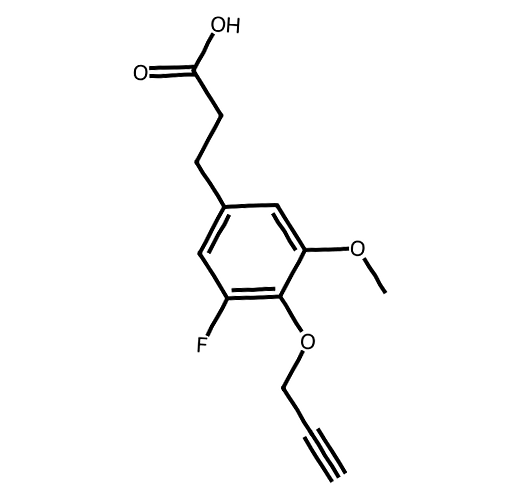 C#CCOc1c(F)cc(CCC(=O)O)cc1OC